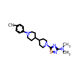 [C-]#[N+]c1ccc(N2CCC(C3CCN(c4nc(N(C)C)ns4)CC3)CC2)cc1